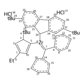 CCC1=CC(C(C)(C)C)[C]([Zr](=[C](c2ccccc2)c2ccccc2)[CH]2c3cc(C(C)(C)C)ccc3-c3ccc(C(C)(C)C)cc32)=C1.Cl.Cl